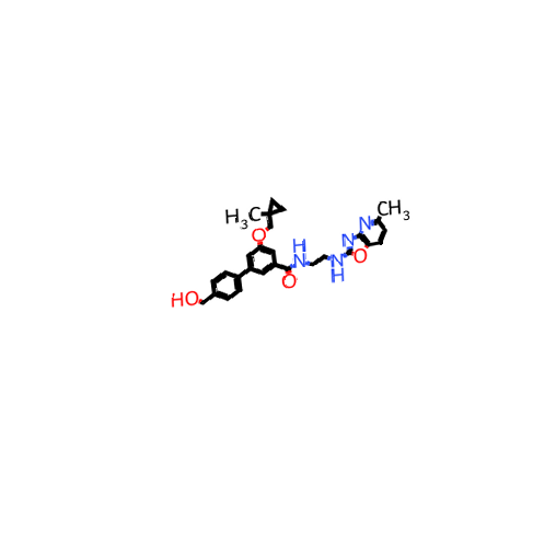 Cc1ccc2oc(NCCNC(=O)c3cc(OCC4(C)CC4)cc(-c4ccc(CO)cc4)c3)nc2n1